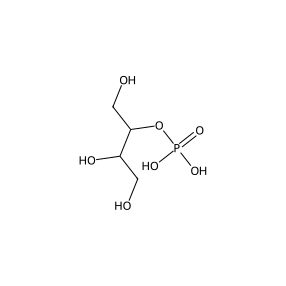 O=P(O)(O)OC(CO)C(O)CO